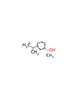 CC(C)c1cccc([C@@H](C)O)c1